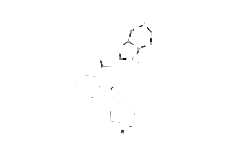 O=C(Nc1nc2ccc(Cl)cc2s1)[C@@H]1CCCCN1C(=O)N1CCS(=O)(=O)CC1